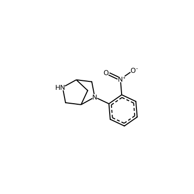 O=[N+]([O-])c1ccccc1N1CC2CC1CN2